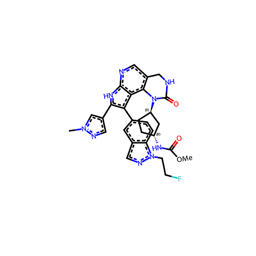 COC(=O)N[C@@H]1CC[C@@H](N2C(=O)NCc3cnc4[nH]c(-c5cnn(C)c5)c(-c5ccc6c(cnn6CCF)c5)c4c32)C1